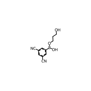 N#Cc1cc(C#N)cc(B(O)OCCCO)c1